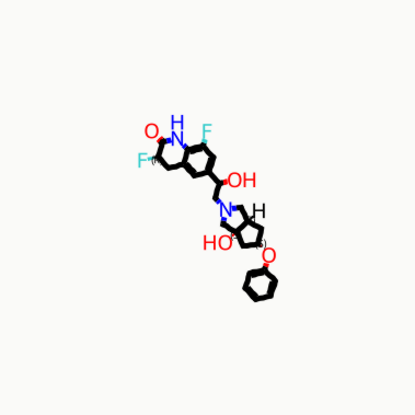 O=C1Nc2c(F)cc(C(O)CN3C[C@H]4C[C@H](Oc5ccccc5)C[C@@]4(O)C3)cc2C[C@H]1F